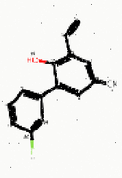 C=Cc1cc(C#N)cc(-c2cccc(F)c2)c1O